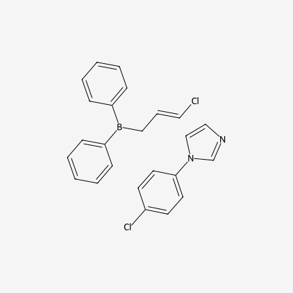 ClC=CCB(c1ccccc1)c1ccccc1.Clc1ccc(-n2ccnc2)cc1